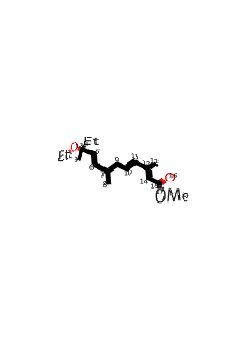 CCOC(C)(CC)CCC(C)CC=CC(C)=CC(=O)OC